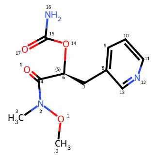 CON(C)C(=O)[C@H](Cc1cccnc1)OC(N)=O